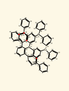 c1ccc(Nc2cc(Oc3ccccc3)cc(N(c3cc(N(c4ccccc4)c4ccccc4)cc(N(c4ccccc4)c4ccccc4)c3)c3c(-c4ccccc4)cccc3-c3ccccc3)c2)cc1